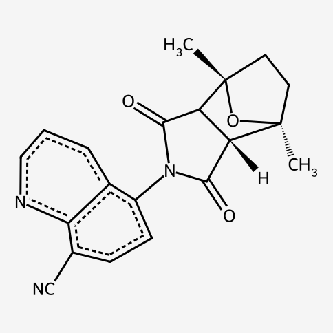 C[C@@]12CC[C@](C)(O1)[C@@H]1C(=O)N(c3ccc(C#N)c4ncccc34)C(=O)C12